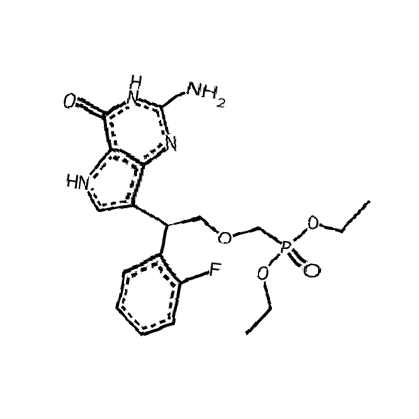 CCOP(=O)(COC[C@@H](c1ccccc1F)c1c[nH]c2c(=O)[nH]c(N)nc12)OCC